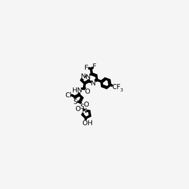 O=C(Nc1cc(S(=O)(=O)N2CCC(O)C2)sc1Cl)c1cnn2c(C(F)F)cc(-c3ccc(C(F)(F)F)cc3)nc12